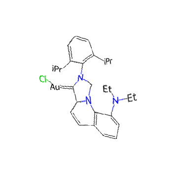 CCN(CC)c1cccc2c1N1CN(c3c(C(C)C)cccc3C(C)C)[C](=[Au][Cl])C1C=C2